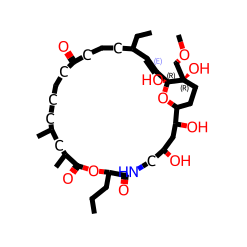 CCCC1OC(=O)C(C)CC(C)CCCCC(=O)CCCC(CC)/C=C/[C@@]2(O)OC(CC[C@@]2(O)COC)C(O)CC(O)CNC1=O